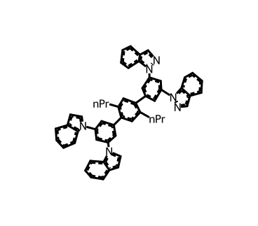 CCCc1cc(-c2cc(-n3ncc4ccccc43)cc(-n3ncc4ccccc43)c2)c(CCC)cc1-c1cc(-n2ccc3ccccc32)cc(-n2ccc3ccccc32)c1